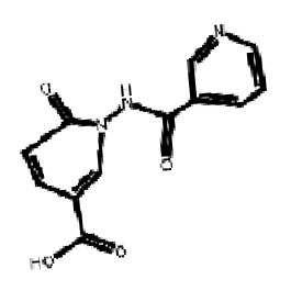 O=C(O)c1ccc(=O)n(NC(=O)c2cccnc2)c1